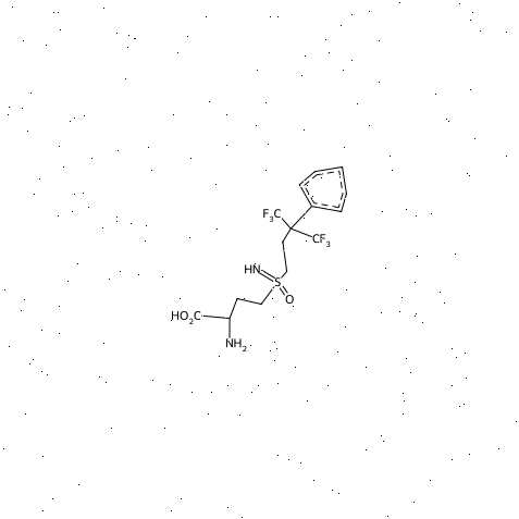 N=S(=O)(CCC(N)C(=O)O)CCC(c1ccccc1)(C(F)(F)F)C(F)(F)F